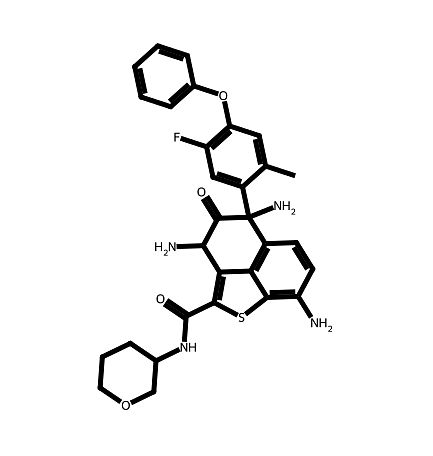 Cc1cc(Oc2ccccc2)c(F)cc1C1(N)C(=O)C(N)c2c(C(=O)NC3CCCOC3)sc3c(N)ccc1c23